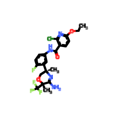 CCOc1ccc(C(=O)Nc2ccc(F)c([C@]3(C)CO[C@@](C)(C(F)(F)F)C(N)=N3)c2)c(Cl)n1